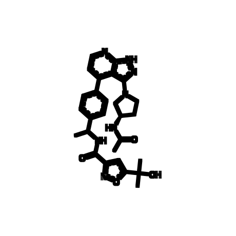 CC(=O)N[C@@H]1CCN(c2n[nH]c3nccc(-c4ccc(C(C)NC(=O)c5cc(C(C)(C)O)on5)cc4)c23)C1